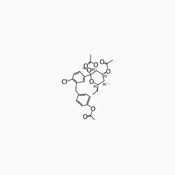 CC[C@H]1OC(OC)(c2ccc(Cl)c(Cc3ccc(OC(C)=O)cc3)c2)[C@H](OC(C)=O)[C@@H](OC(C)=O)[C@@H]1C